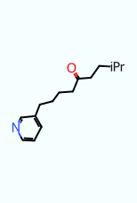 CC(C)CCC(=O)CCCCc1cccnc1